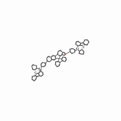 c1ccc(N(c2ccc(-c3ccc4cc5c(cc4c3)C3(c4ccccc4-c4ccccc43)c3c-5ccc4cc(-c5ccc(N(c6ccccc6)c6cccc7c6sc6ccccc67)cc5)ccc34)cc2)c2cccc3c2sc2ccccc23)cc1